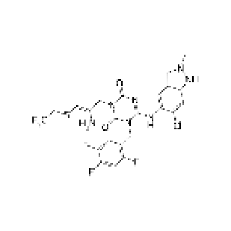 CN1C=C2C=C(Nc3nc(=O)n(C/C(N)=C/SCC(F)(F)F)c(=O)n3Cc3cc(F)c(F)cc3F)C(Cl)=CC2N1